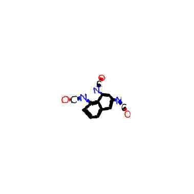 O=C=Nc1cc(N=C=O)c2c(N=C=O)cccc2c1